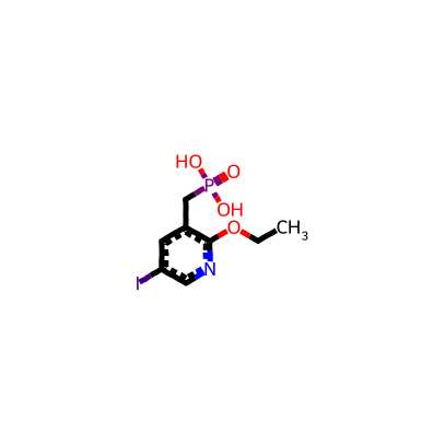 CCOc1ncc(I)cc1CP(=O)(O)O